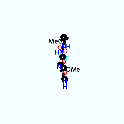 COc1cccc(C)c1CCNC(=O)C(=O)Nc1ccc(Oc2ccnc3c2CC(OC)C(OCC2CCNCC2)C3C)c(F)c1